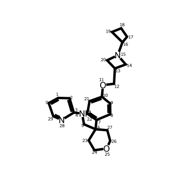 c1ccc(NCC2(c3ccc(OCC4CN(C5CCC5)C4)cc3)CCOCC2)nc1